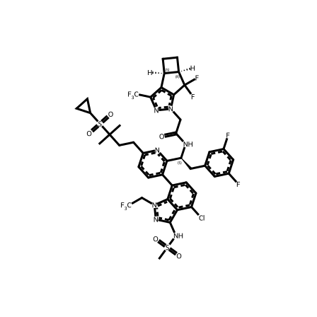 CC(C)(CCc1ccc(-c2ccc(Cl)c3c(NS(C)(=O)=O)nn(CC(F)(F)F)c23)c([C@H](Cc2cc(F)cc(F)c2)NC(=O)Cn2nc(C(F)(F)F)c3c2C(F)(F)[C@@H]2CC[C@H]32)n1)S(=O)(=O)C1CC1